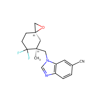 C[C@@]1(Cn2cnc3ccc(C#N)cc32)C[C@]2(CCC1(F)F)CO2